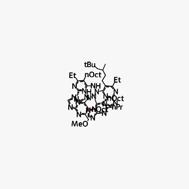 CCCCCCCCc1c(CC)nc2ncnn2c1NN(c1c(CCC(C)CC(C)(C)C)c(CC)nc2ncnn12)N(Nc1c(CCCCCCCC)c(COC)nc2ncnn12)c1c(CCCCCCCC)c(CCC)nc2ncnn12